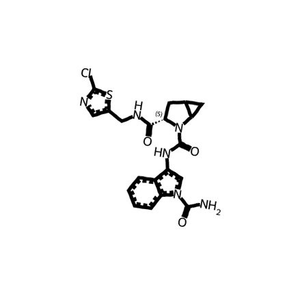 NC(=O)n1cc(NC(=O)N2C3CC3C[C@H]2C(=O)NCc2cnc(Cl)s2)c2ccccc21